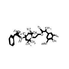 CCOC(=O)C1(NC(=O)c2ccccc2)CC(C)(C)N(CCOC(=O)C(C)c2cc(C(C)(C)C)c(O)c(C(C)(C)C)c2)C(C)(C)C1